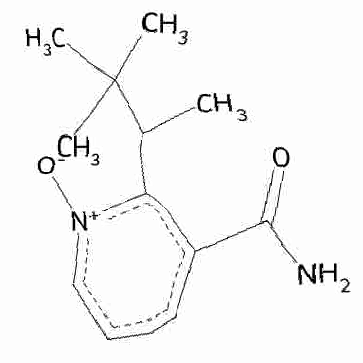 CC(c1c(C(N)=O)ccc[n+]1[O-])C(C)(C)C